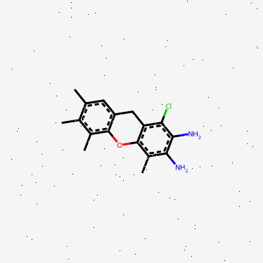 Cc1cc2c(c(C)c1C)Oc1c(C)c(N)c(N)c(Cl)c1C2